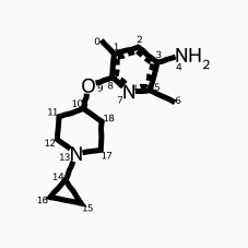 Cc1cc(N)c(C)nc1OC1CCN(C2CC2)CC1